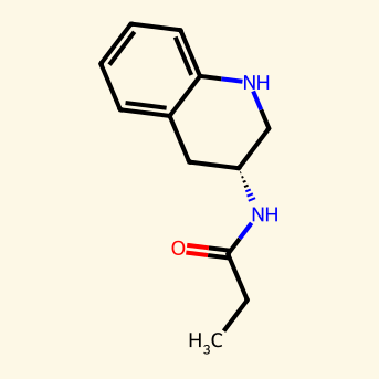 CCC(=O)N[C@H]1CNc2ccccc2C1